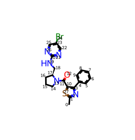 Cc1nc(-c2ccccc2)c(C(=O)N2CCC[C@H]2CNc2ncc(Br)cn2)s1